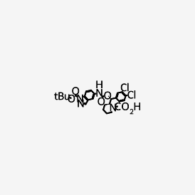 CC(C)(C)OC(=O)n1ncc2cc(NC(=O)O[C@H](c3ccc(Cl)c(Cl)c3)[C@@H]3CCCCN3C(=O)O)ccc21